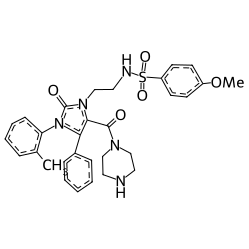 COc1ccc(S(=O)(=O)NCCn2c(C(=O)N3CCNCC3)c(-c3ccccc3)n(-c3ccccc3C)c2=O)cc1